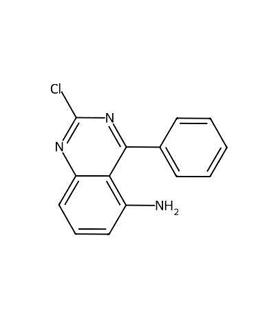 Nc1cccc2nc(Cl)nc(-c3ccccc3)c12